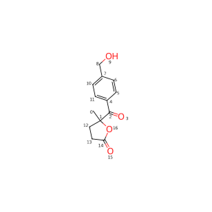 CC1(C(=O)c2ccc(CO)cc2)CCC(=O)O1